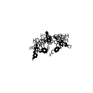 CCCCCCn1c(=O)c(C(=O)NCC(=O)O)c(O)c2cccn21.O=C(O)CNC(=O)c1c(O)c2cc(Cl)cn2n(Cc2ccc(C(F)(F)F)cc2)c1=O.O=C(O)CNC(=O)c1c(O)c2cc3cc(F)ccc3n2n(Cc2ccc(F)cc2)c1=O